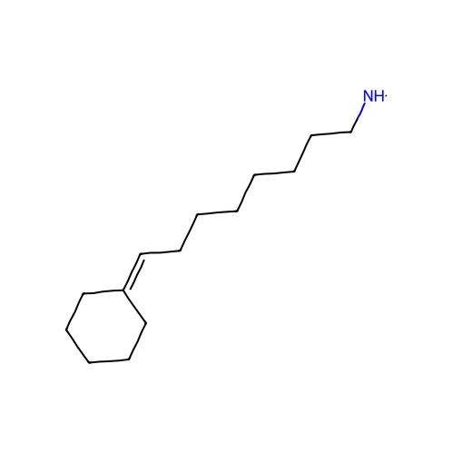 [NH]CCCCCCCC=C1CCCCC1